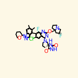 Cc1cc2c(cnn2C2CCCCO2)c(-c2c(Cl)cc3c(N4CCC[C@]5(C4)NC(=O)NC5=O)nc(OC[C@@]45CCCN4C[C@H](F)C5)nc3c2F)c1C